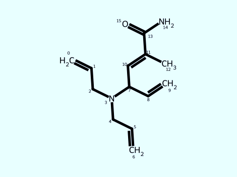 C=CCN(CC=C)C(C=C)C=C(C)C(N)=O